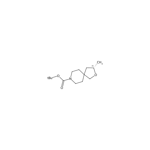 C[C@H]1CC2(CCN(C(=O)OC(C)(C)C)CC2)CO1